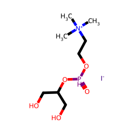 C[N+](C)(C)CCO[PH](=O)OC(CO)CO.[I-]